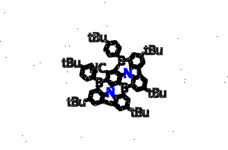 CC(C)(C)c1ccc(B2c3c(C#N)c4c5c6c3-n3c7c2cc(C(C)(C)C)cc7c2cc(C(C)(C)C)cc(c23)B6c2cc(C(C)(C)C)cc3c6cc(C(C)(C)C)cc(c6n-5c23)B4c2ccc(C(C)(C)C)cc2)cc1